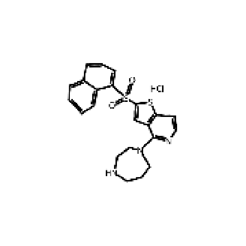 Cl.O=S(=O)(c1cc2c(N3CCCNCC3)nccc2s1)c1cccc2ccccc12